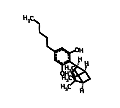 CCCCCc1cc(O)c([C@@H]2C=C(C)[C@@H]3C[C@H]2C3(C)C)c(O)c1